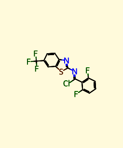 Fc1cccc(F)c1C(Cl)=Nc1nc2ccc(C(F)(F)F)cc2s1